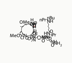 CCCCC(CCC)NCCCCCC(=O)N[C@H](C(=O)N[C@@H](CCCNC(N)=O)C(=O)Nc1ccc(C(=O)N(C)[C@@H](C)C(=O)O[C@H]2CC(=O)N(C)c3cc(cc(OC)c3Cl)C/C(C)=C/C=C/[C@@H](OC)[C@@]3(O)C[C@H](OC(=O)N3)[C@@H](C)[C@@H]3O[C@@]23C)c(F)c1)C(C)C